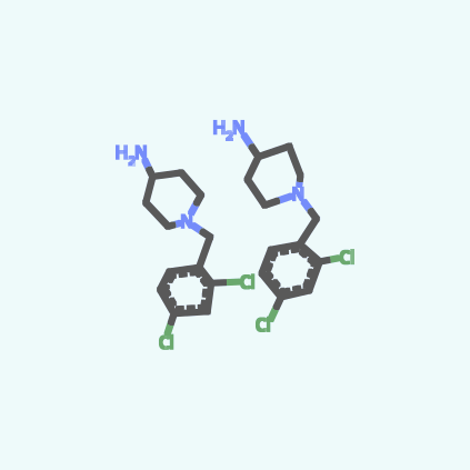 NC1CCN(Cc2ccc(Cl)cc2Cl)CC1.NC1CCN(Cc2ccc(Cl)cc2Cl)CC1